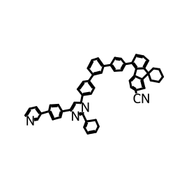 N#Cc1ccc2c(c1)C1(CCCCC1)c1cccc(-c3ccc(-c4cccc(-c5ccc(-c6cc(-c7ccc(-c8cccnc8)cc7)nc(C7=CC=CCC7)n6)cc5)c4)cc3)c1-2